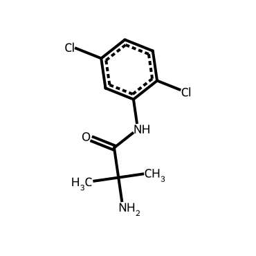 CC(C)(N)C(=O)Nc1cc(Cl)ccc1Cl